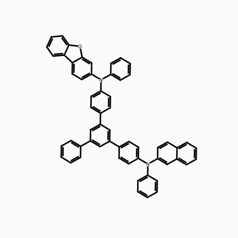 c1ccc(-c2cc(-c3ccc(N(c4ccccc4)c4ccc5ccccc5c4)cc3)cc(-c3ccc(N(c4ccccc4)c4ccc5c(c4)oc4ccccc45)cc3)c2)cc1